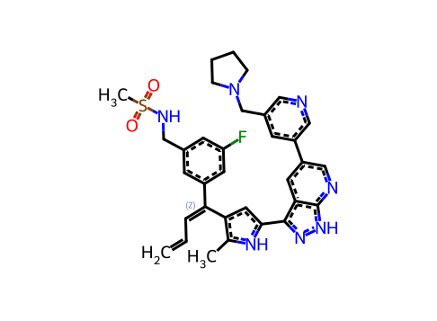 C=C/C=C(/c1cc(F)cc(CNS(C)(=O)=O)c1)c1cc(-c2n[nH]c3ncc(-c4cncc(CN5CCCC5)c4)cc23)[nH]c1C